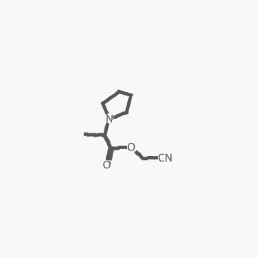 CC(C(=O)OCC#N)N1CCCC1